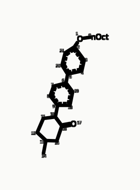 CCCCCCCCOc1ccc(-c2ccc(C3CCC(C)CC3=O)cc2)cc1